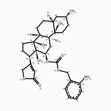 C[C@H]1CC[C@@]2(C)[C@H](CC[C@@H]3[C@@H]2C[C@@H](OC(=O)OCc2ccccc2[N+](=O)[O-])[C@]2(C)[C@@H](C4=CC(=O)OC4)CC[C@]32O)C1